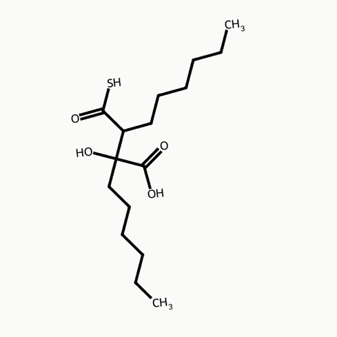 CCCCCCC(C(=O)S)C(O)(CCCCCC)C(=O)O